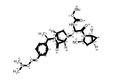 C[C@H](c1ccc(SOON(C)C)cc1)N1C(=O)[C@@H]2C[C@H]1CN2C[C@H](NC(=O)OC(C)(C)C)C(=O)N1[C@H](C#N)C[C@@H]2C[C@@H]21